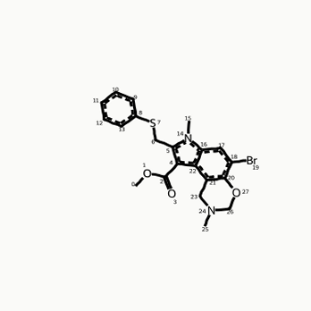 COC(=O)c1c(CSc2ccccc2)n(C)c2cc(Br)c3c(c12)CN(C)CO3